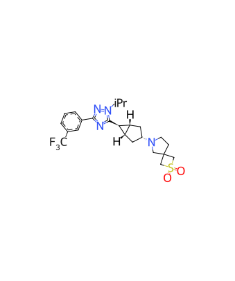 CC(C)n1nc(-c2cccc(C(F)(F)F)c2)nc1[C@H]1[C@@H]2C[C@H](N3CCC4(C3)CS(=O)(=O)C4)C[C@@H]21